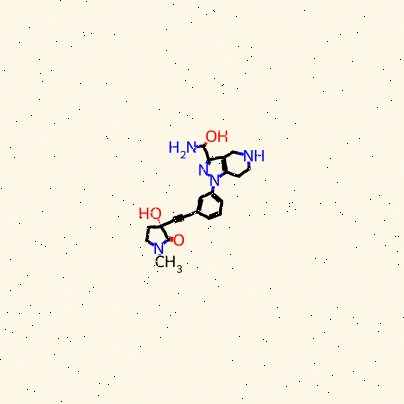 CN1CC[C@@](O)(C#Cc2cccc(-n3nc(C(N)O)c4c3CCNC4)c2)C1=O